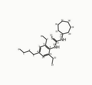 CCCCc1cc(CC)c(NC(=S)NC2CCCCCC2)c(CC)c1